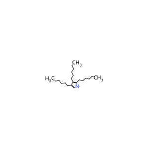 CCCCCCC1=C[N]C(CCCCCC)=C1CCCCCC